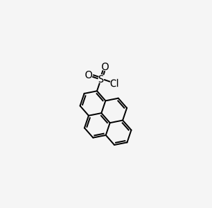 O=S(=O)(Cl)c1ccc2ccc3cccc4ccc1c2c34